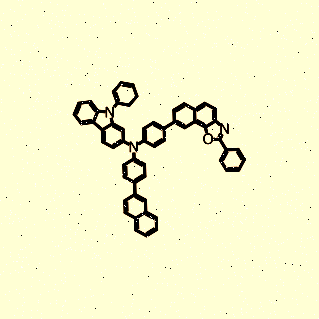 C1=CCCC(n2c3ccccc3c3ccc(N(c4ccc(-c5ccc6ccccc6c5)cc4)c4ccc(-c5ccc6ccc7nc(-c8ccccc8)oc7c6c5)cc4)cc32)=C1